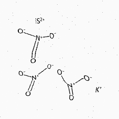 O=[N+]([O-])[O-].O=[N+]([O-])[O-].O=[N+]([O-])[O-].[K+].[S+2]